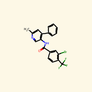 Cc1cc(-c2ccccc2)c(NC(=O)c2ccc(C(F)(F)F)c(Br)c2)cn1